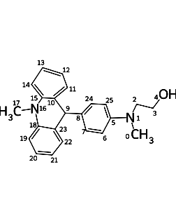 CN(CCO)c1ccc(C2c3ccccc3N(C)c3ccccc32)cc1